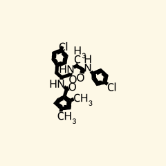 Cc1ccc(C(=O)NC(Cc2ccc(Cl)cc2)C(=O)N[C@@H](C)C(=O)Nc2ccc(Cl)cc2)c(C)c1